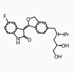 CC(C)N(Cc1ccc2c(c1)COC2=C1C(=O)Nc2ccc(F)cc21)C[C@@H](O)CO